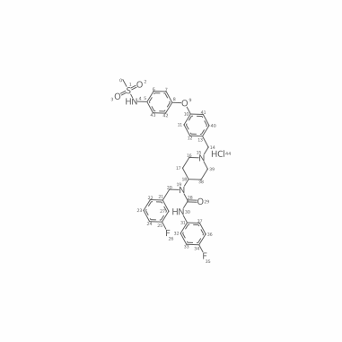 CS(=O)(=O)Nc1ccc(Oc2ccc(CN3CCC(N(Cc4cccc(F)c4)C(=O)Nc4ccc(F)cc4)CC3)cc2)cc1.Cl